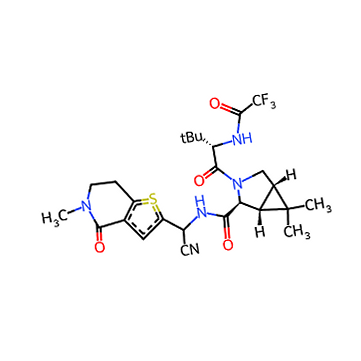 CN1CCc2sc(C(C#N)NC(=O)[C@@H]3[C@@H]4[C@H](CN3C(=O)[C@@H](NC(=O)C(F)(F)F)C(C)(C)C)C4(C)C)cc2C1=O